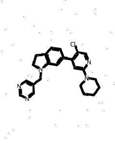 Clc1cnc(N2CCCCC2)cc1-c1ccc2c(c1)N(Cc1cncnc1)CC2